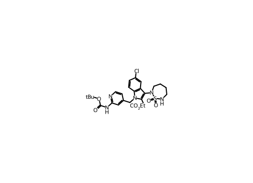 CCOC(=O)c1c(N2CCCCNS2(=O)=O)c2cc(Cl)ccc2n1Cc1ccnc(NC(=O)OC(C)(C)C)c1